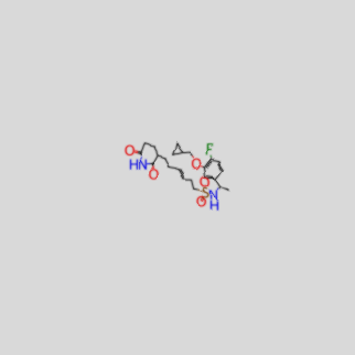 C[C@@H](NS(=O)(=O)CC/C=C/CCC1CCC(=O)NC1=O)c1ccc(F)c(OCC2CC2)c1